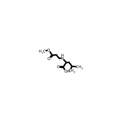 COC(=O)CCNC(CC(C)C)C(=O)O